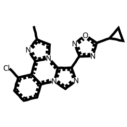 Cc1cn2c(n1)c1c(Cl)cccc1n1cnc(-c3noc(C4CC4)n3)c12